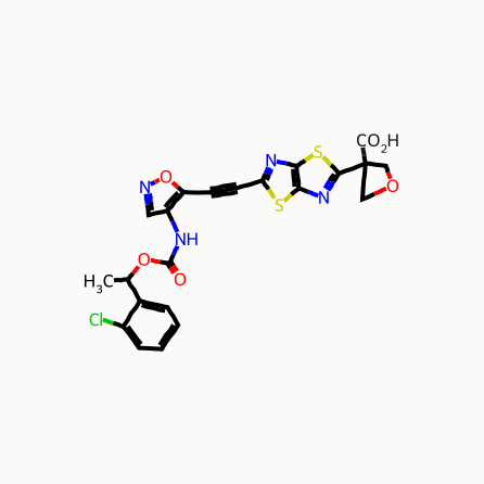 CC(OC(=O)Nc1cnoc1C#Cc1nc2sc(C3(C(=O)O)COC3)nc2s1)c1ccccc1Cl